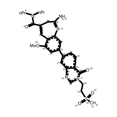 CCCN(CCC)C(=O)C1=Cc2c(cc(-c3ccc4c(=O)n(CCS(C)(=O)=O)cnc4c3)cc2OC)N=C(N)C1